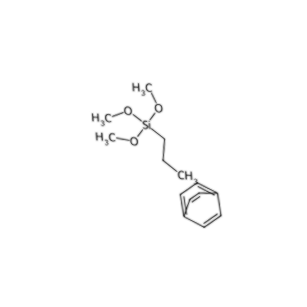 CCC[Si](OC)(OC)OC.c1cc2ccc1cc2